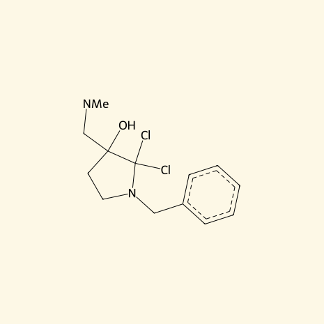 CNCC1(O)CCN(Cc2ccccc2)C1(Cl)Cl